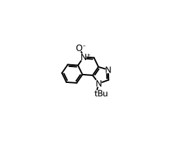 CC(C)(C)n1cnc2c[n+]([O-])c3ccccc3c21